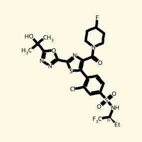 CC[C@H](NS(=O)(=O)c1ccc(-c2sc(-c3nnc(C(C)(C)O)o3)nc2C(=O)N2CCC(F)CC2)c(Cl)c1)C(F)(F)F